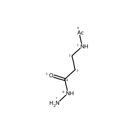 CC(=O)NCCC(=O)NN